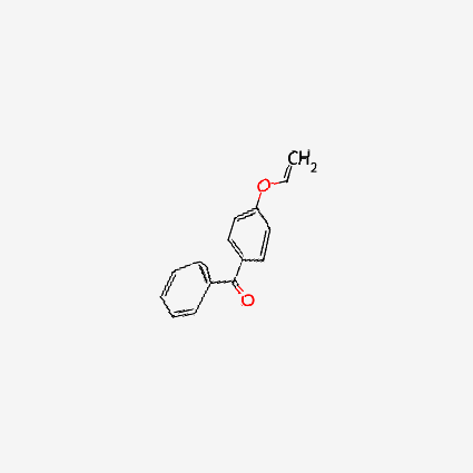 C=COc1ccc(C(=O)c2ccccc2)cc1